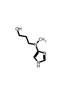 CN(CCCO)c1c[nH]cn1